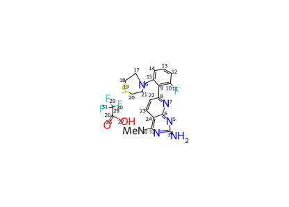 CNc1nc(N)nc2nc(-c3c(F)cccc3N3CCSCC3)ccc12.O=C(O)C(F)(F)F